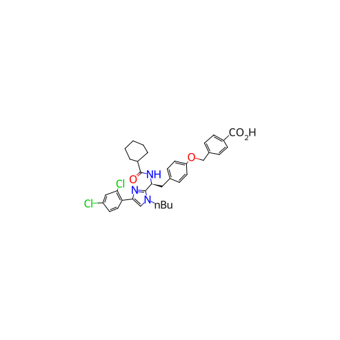 CCCCn1cc(-c2ccc(Cl)cc2Cl)nc1[C@H](Cc1ccc(OCc2ccc(C(=O)O)cc2)cc1)NC(=O)C1CCCCC1